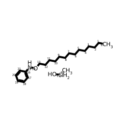 CCCCCCCCCCCCCCONc1ccccc1.C[SiH2]O